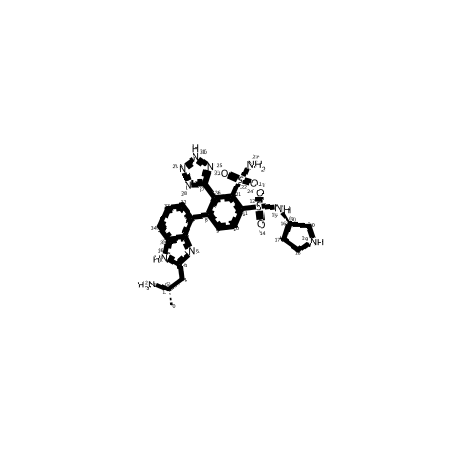 C[C@H](N)Cc1nc2c(-c3ccc(S(=O)(=O)N[C@@H]4CCNC4)c(S(N)(=O)=O)c3-c3nn[nH]n3)cccc2[nH]1